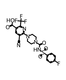 N#Cc1cc(C(=O)O)c(C(F)(F)F)nc1N1CCN(C(=O)NS(=O)(=O)c2ccc(F)cc2)CC1